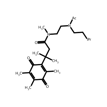 CC(=O)N(CCC(C)C)CCN(C)C(=O)CC(C)(C)C1=C(C)C(=O)C(C)=C(C)C1=O